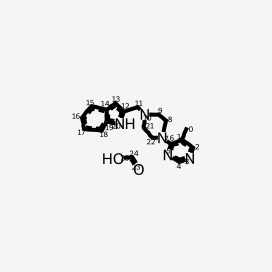 Cc1cncnc1N1CCN(Cc2cc3ccccc3[nH]2)CC1.O=CO